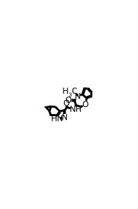 CN1C(=O)C(NC(=O)c2n[nH]c3c2CC2CC2C3)COc2ccccc21